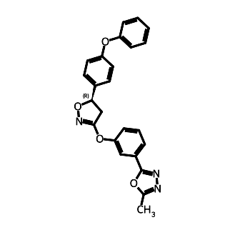 Cc1nnc(-c2cccc(OC3=NO[C@@H](c4ccc(Oc5ccccc5)cc4)C3)c2)o1